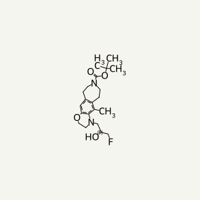 Cc1c2c(cc3c1N(C[C@@H](O)CF)CCO3)CCN(C(=O)OC(C)(C)C)CC2